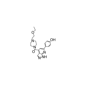 CCOCCN1CCN(C(=O)c2cc(-c3ccc(O)cc3)nc3[nH]ncc23)CC1